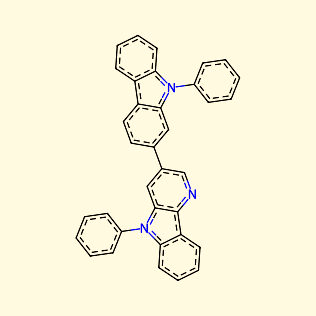 c1ccc(-n2c3ccccc3c3ccc(-c4cnc5c6ccccc6n(-c6ccccc6)c5c4)cc32)cc1